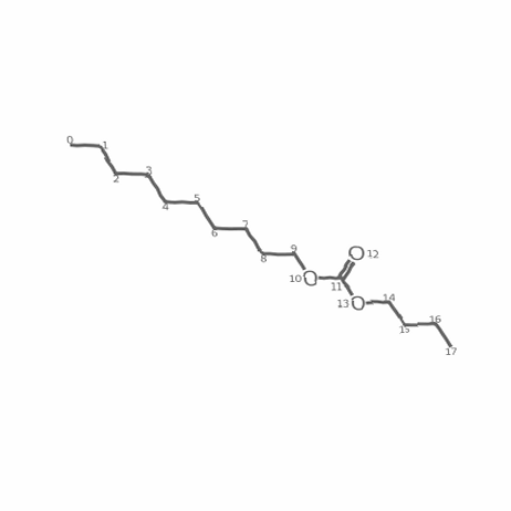 CCCCCCCCCCOC(=O)OCCCC